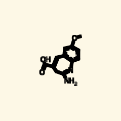 COc1ccc2c(c1)C=C(C(=O)O)CC(N)=N2